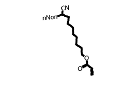 C=CC(=O)OCCCCCCCCC(C#N)CCCCCCCCC